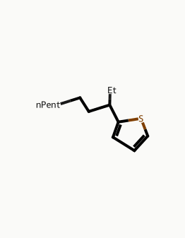 CCCCCCCC(CC)c1cccs1